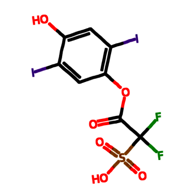 O=C(Oc1cc(I)c(O)cc1I)C(F)(F)S(=O)(=O)O